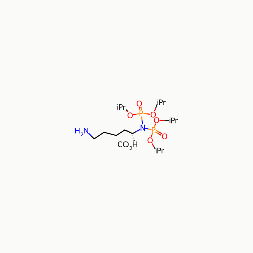 CC(C)OP(=O)(OC(C)C)N([C@@H](CCCCN)C(=O)O)P(=O)(OC(C)C)OC(C)C